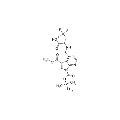 COC(=O)c1cn(C(=O)OC(C)(C)C)c2nccc(CNC(CC(F)(F)F)C(=O)O)c12